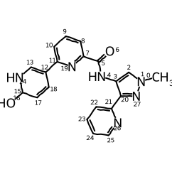 Cn1cc(NC(=O)c2cccc(C3=CNC(O)C=C3)n2)c(-c2ccccn2)n1